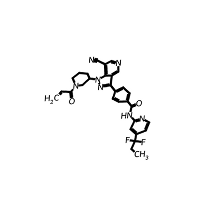 C=CC(=O)N1CCCC(n2nc(-c3ccc(C(=O)Nc4cc(C(F)(F)CC)ccn4)cc3)c3cncc(C#N)c32)C1